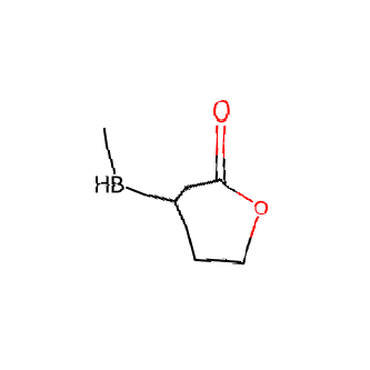 CBC1CCOC1=O